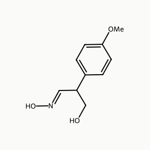 COc1ccc(C(C=NO)CO)cc1